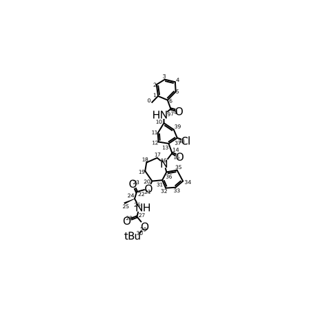 Cc1ccccc1C(=O)Nc1ccc(C(=O)N2CCCC(OC(=O)[C@H](C)NC(=O)OC(C)(C)C)c3ccccc32)c(Cl)c1